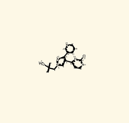 CC(C)(O)Cn1cc(-c2ccnc(Cl)n2)c(-c2cccnc2)n1